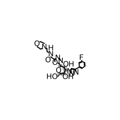 O=C(NCCN1CCOCC1)c1nnc([C@@H]2O[C@H](CO)[C@H](O)[C@H](n3cc(-c4cccc(F)c4)nn3)[C@H]2O)o1